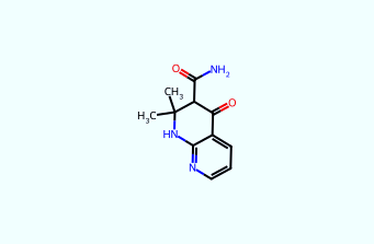 CC1(C)Nc2ncccc2C(=O)C1C(N)=O